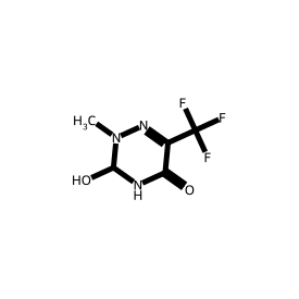 CN1N=C(C(F)(F)F)C(=O)NC1O